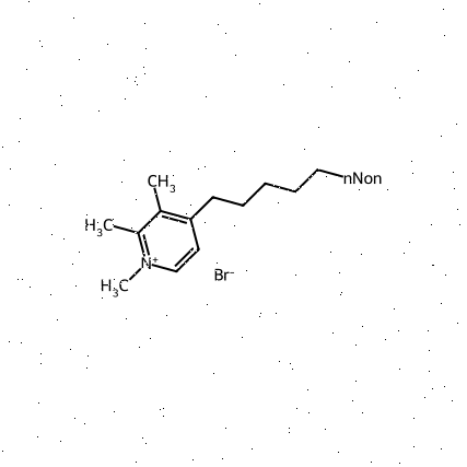 CCCCCCCCCCCCCCc1cc[n+](C)c(C)c1C.[Br-]